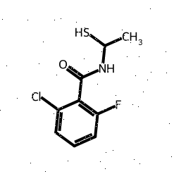 CC(S)NC(=O)c1c(F)cccc1Cl